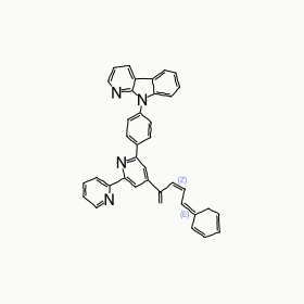 C=C(/C=C\C=C1\C=CC=CC1)c1cc(-c2ccc(-n3c4ccccc4c4cccnc43)cc2)nc(-c2ccccn2)c1